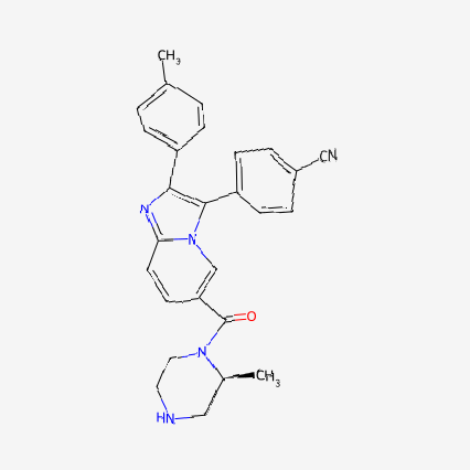 Cc1ccc(-c2nc3ccc(C(=O)N4CCNC[C@@H]4C)cn3c2-c2ccc(C#N)cc2)cc1